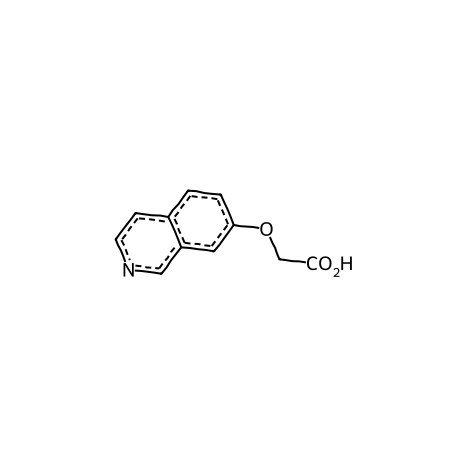 O=C(O)COc1ccc2ccncc2c1